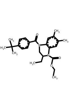 CCOC(=O)N1c2cc(C)c(C)cc2N(C(=O)c2ccc(C(C)(C)C)cc2)CC1CC